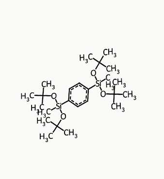 CC(C)(C)O[Si](C)(OC(C)(C)C)c1ccc([Si](C)(OC(C)(C)C)OC(C)(C)C)cc1